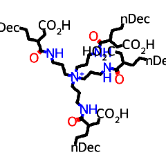 CCCCCCCCCCCCC(CC(=O)O)C(=O)NCCC[N+](CCCNC(=O)C(CCCCCCCCCCCC)CC(=O)O)(CCCNC(=O)C(CCCCCCCCCCCC)CC(=O)O)CCCNC(=O)C(CCCCCCCCCCCC)CC(=O)O